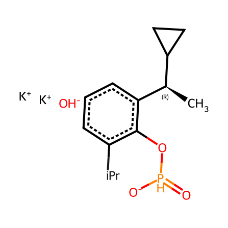 CC(C)c1cccc([C@H](C)C2CC2)c1O[PH](=O)[O-].[K+].[K+].[OH-]